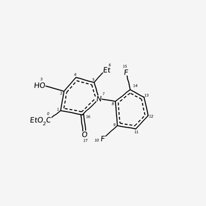 CCOC(=O)c1c(O)cc(CC)n(-c2c(F)cccc2F)c1=O